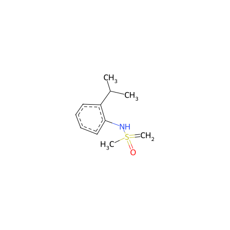 C=S(C)(=O)Nc1ccccc1C(C)C